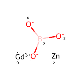 [Gd+3].[O-]B([O-])[O-].[Zn]